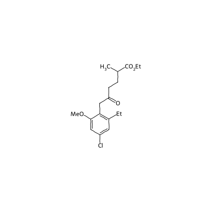 CCOC(=O)C(C)CCC(=O)Cc1c(CC)cc(Cl)cc1OC